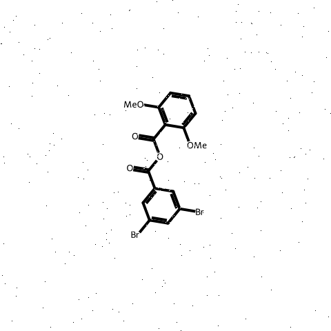 COc1cccc(OC)c1C(=O)OC(=O)c1cc(Br)cc(Br)c1